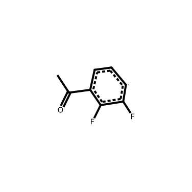 CC(=O)c1cc[c]c(F)c1F